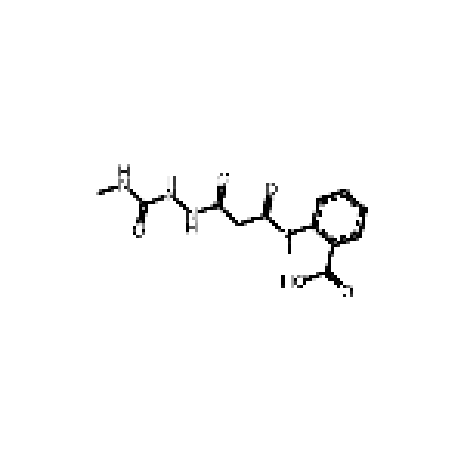 CNC(=O)NNC(=O)CC(=O)Nc1ccccc1C(=O)O